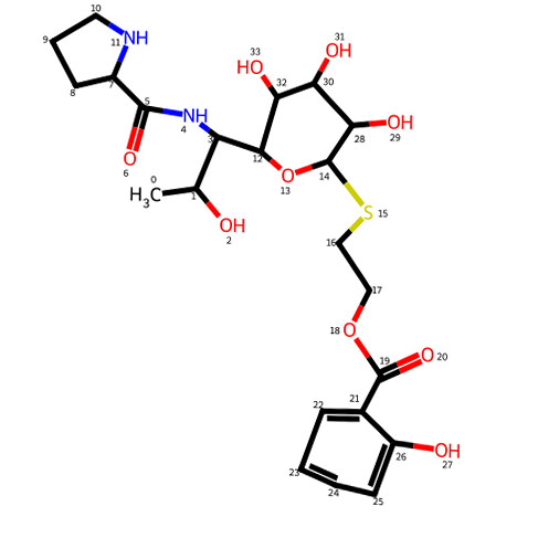 CC(O)C(NC(=O)C1CCCN1)C1OC(SCCOC(=O)c2ccccc2O)C(O)C(O)C1O